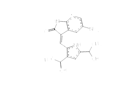 CC(C)c1cc(C(C)C)c(C=C2C(=O)Nc3ncc(N)cc32)[nH]1